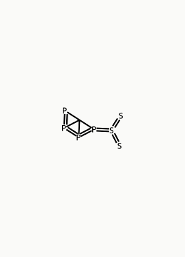 S=S(=S)=P1=P2=P3=PC321